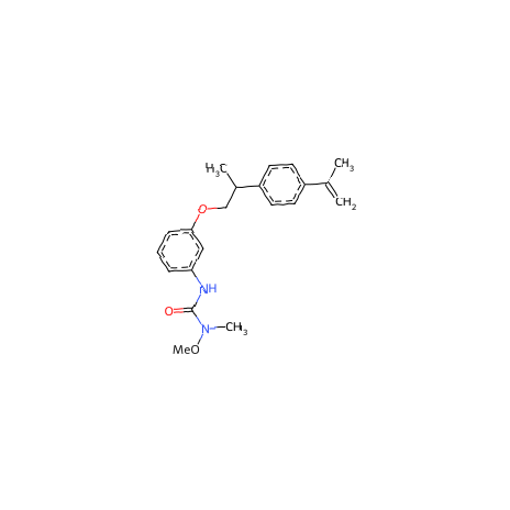 C=C(C)c1ccc(C(C)COc2cccc(NC(=O)N(C)OC)c2)cc1